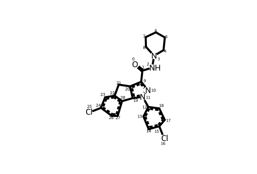 O=C(NN1CCCCC1)c1nn(-c2ccc(Cl)cc2)c2c1Cc1cc(Cl)ccc1-2